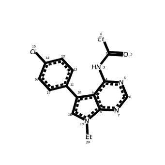 CCC(=O)Nc1ncnc2c1c(-c1ccc(Cl)cc1)cn2CC